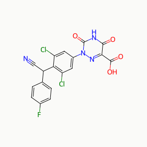 N#CC(c1ccc(F)cc1)c1c(Cl)cc(-n2nc(C(=O)O)c(=O)[nH]c2=O)cc1Cl